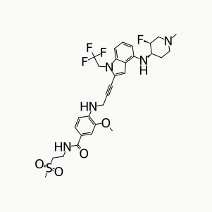 COc1cc(C(=O)NCCS(C)(=O)=O)ccc1NCC#Cc1cc2c(N[C@@H]3CCN(C)C[C@@H]3F)cccc2n1CC(F)(F)F